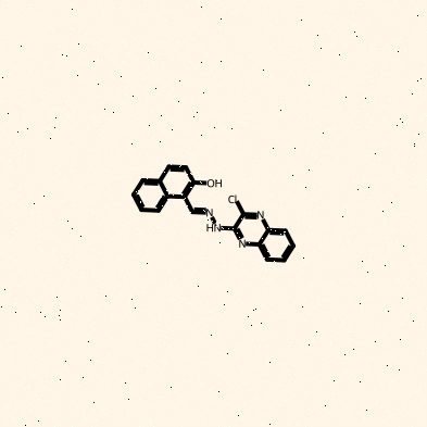 Oc1ccc2ccccc2c1C=NNc1nc2ccccc2nc1Cl